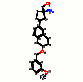 N[C@]1(CO)CC[C@H](c2ccc3c(c2)CC[C@@H](OCc2cccc(OC(F)(F)F)c2)C3)C1